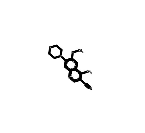 COc1cc2c(C)c(C#N)cnc2cc1N1CCOCC1